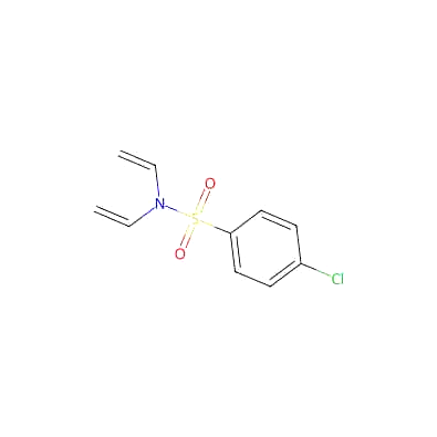 C=CN(C=C)S(=O)(=O)c1ccc(Cl)cc1